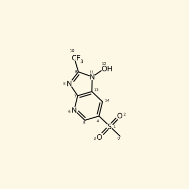 CS(=O)(=O)c1cnc2nc(C(F)(F)F)n(O)c2c1